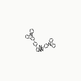 c1ccc(-n2c3ccccc3c3cc(-c4ccc(-c5cccn6nc(-c7ccc(-n8c9ccccc9c9ccccc98)cc7)nc56)cc4)ccc32)cc1